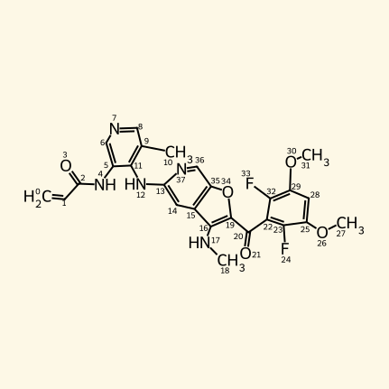 C=CC(=O)Nc1cncc(C)c1Nc1cc2c(NC)c(C(=O)c3c(F)c(OC)cc(OC)c3F)oc2cn1